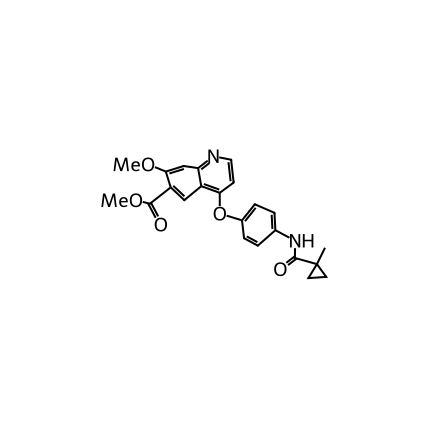 COC(=O)c1cc2c(Oc3ccc(NC(=O)C4(C)CC4)cc3)ccnc2cc1OC